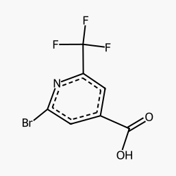 O=C(O)c1cc(Br)nc(C(F)(F)F)c1